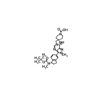 CN(C(=O)OC(C)(C)C)C1CCc2cc(-c3c4ncn(CC5(O)CCN(C(=O)O)CC5)c(=O)c4nn3C)ccc21